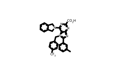 Cc1cccc(-c2nc3nc(C(=O)O)nc(N4Cc5ccccc5C4)c3n2Cc2ccc(C(F)(F)F)cc2)c1